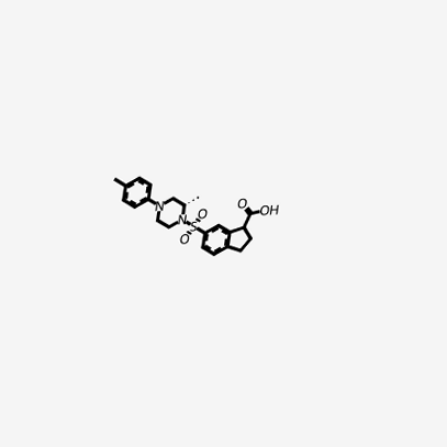 Cc1ccc(N2CCN(S(=O)(=O)c3ccc4c(c3)C(C(=O)O)CC4)[C@@H](C)C2)cc1